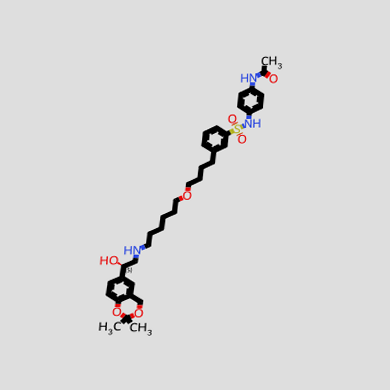 CC(=O)Nc1ccc(NS(=O)(=O)c2cccc(CCCCOCCCCCCNC[C@@H](O)c3ccc4c(c3)COC(C)(C)O4)c2)cc1